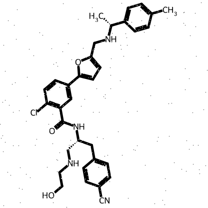 Cc1ccc([C@@H](C)NCc2ccc(-c3ccc(Cl)c(C(=O)N[C@@H](CNCCO)Cc4ccc(C#N)cc4)c3)o2)cc1